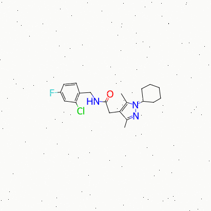 Cc1nn(C2CCCCC2)c(C)c1CC(=O)NCc1ccc(F)cc1Cl